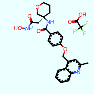 Cc1cc(COc2ccc(C(=O)N[C@]3(CC(=O)NO)CCCOC3)cc2)c2ccccc2n1.O=C(O)C(F)(F)F